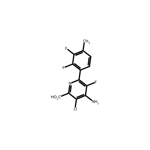 Cc1ccc(-c2nc(C(=O)O)c(Cl)c(N)c2F)c(F)c1F